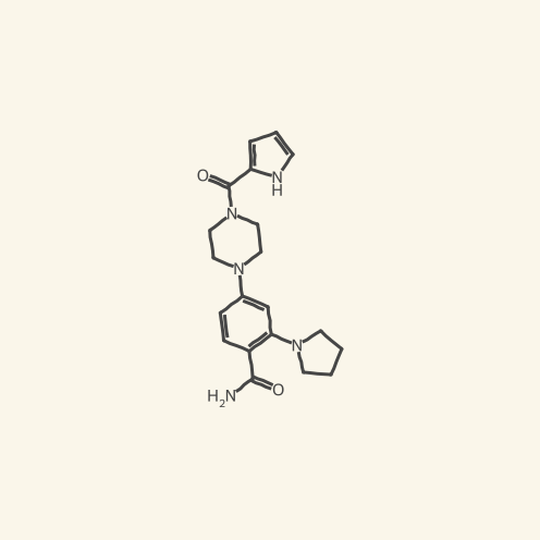 NC(=O)c1ccc(N2CCN(C(=O)c3ccc[nH]3)CC2)cc1N1CCCC1